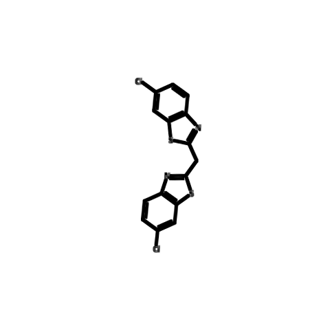 Clc1ccc2nc(Cc3nc4ccc(Cl)cc4s3)sc2c1